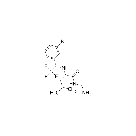 CC(C)C[C@H](N[C@@H](c1cccc(Br)c1)C(F)(F)F)C(=O)NCN